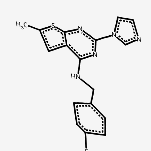 Cc1cc2c(NCc3ccc(F)cc3)nc(-n3ccnc3)nc2s1